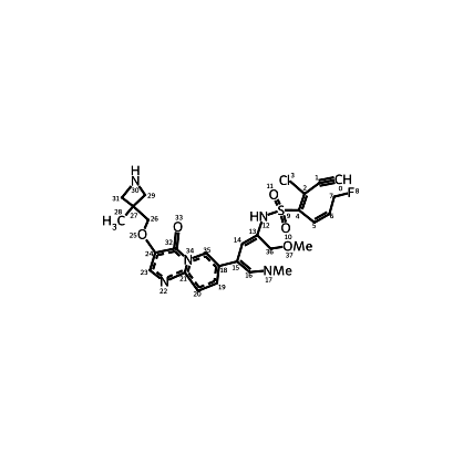 C#C/C(Cl)=C(\C=C/CF)S(=O)(=O)N/C(=C/C(=C\NC)c1ccc2ncc(OCC3(C)CNC3)c(=O)n2c1)COC